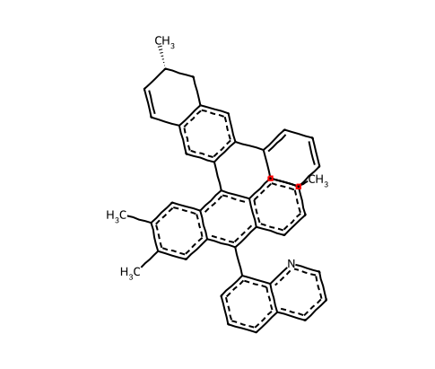 Cc1ccc2c(-c3cccc4cccnc34)c3cc(C)c(C)cc3c(-c3cc4c(cc3C3=CC=CCC3)C[C@@H](C)C=C4)c2c1